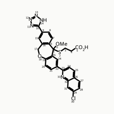 COC1(SCCC(=O)O)c2ccc(-c3nnn[nH]3)cc2COc2ccc(-c3ccc4ccc(Cl)cc4n3)cc21